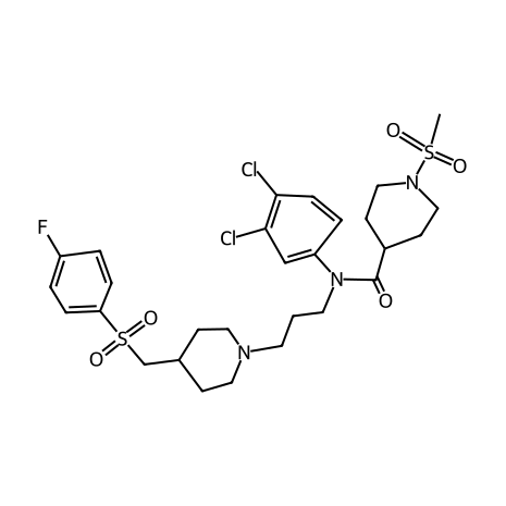 CS(=O)(=O)N1CCC(C(=O)N(CCCN2CCC(CS(=O)(=O)c3ccc(F)cc3)CC2)c2ccc(Cl)c(Cl)c2)CC1